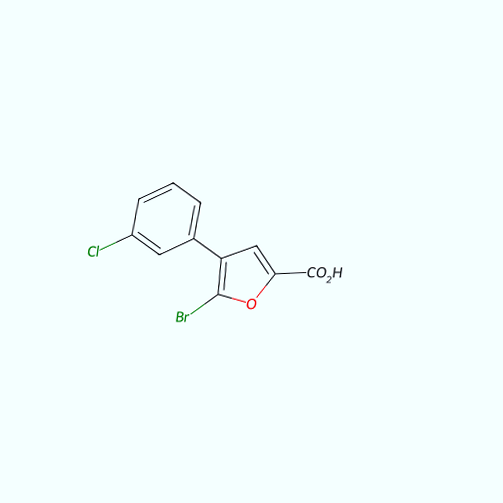 O=C(O)c1cc(-c2cccc(Cl)c2)c(Br)o1